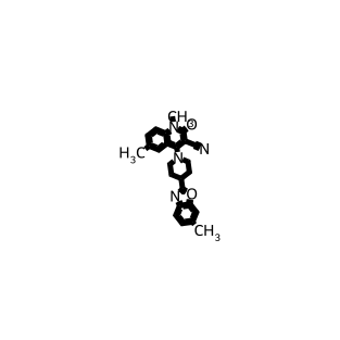 Cc1ccc2nc(C3CCN(c4c(C#N)c(=O)n(C)c5ccc(C)cc45)CC3)oc2c1